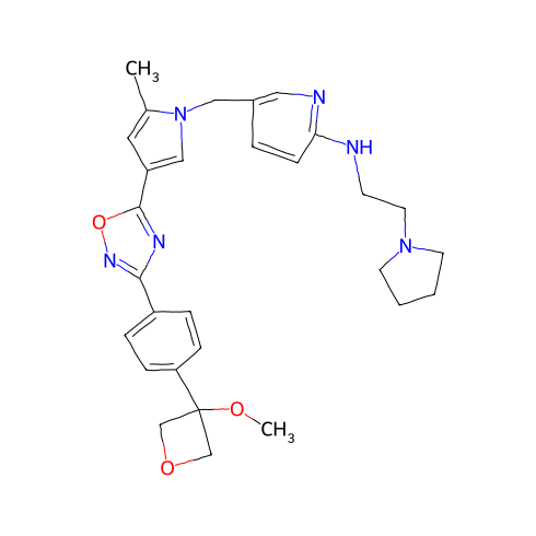 COC1(c2ccc(-c3noc(-c4cc(C)n(Cc5ccc(NCCN6CCCC6)nc5)c4)n3)cc2)COC1